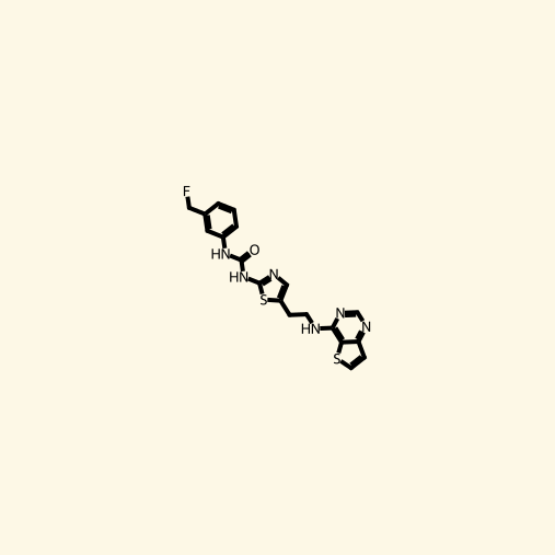 O=C(Nc1cccc(CF)c1)Nc1ncc(CCNc2ncnc3ccsc23)s1